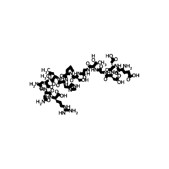 CC(C)C[C@H](NC(=O)[C@H](Cc1c[nH]cn1)NC(=O)[C@@H]1CCCN1C(=O)[C@H](CO)NC(=O)CNC(=O)[C@@H](NC(=O)CNC(=O)[C@H](CC(=O)O)NC(=O)[C@H](CC(=O)O)NC(=O)[C@@H](N)CCC(=O)O)[C@@H](C)O)C(=O)N[C@@H](CC(N)=O)C(=O)N[C@@H](CC(N)=O)C(=O)N[C@@H](CCCNC(=N)N)C(=O)O